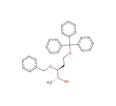 C[C@@H](O)[C@H](CCOC(c1ccccc1)(c1ccccc1)c1ccccc1)OCc1ccccc1